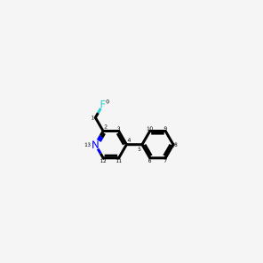 FCc1cc(-c2cc[c]cc2)ccn1